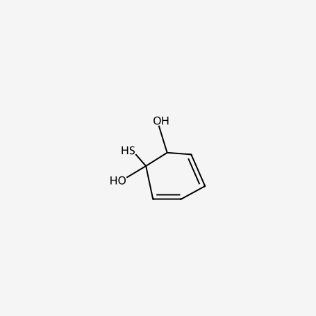 OC1C=CC=CC1(O)S